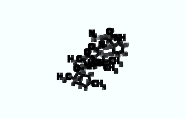 CC1CC2CC(C)CC(C(=O)N[C@@H](C)C(=O)N(C)[C@@H](CC(C)(C)C)C(=O)N3C[C@]4(C[C@H]3C#N)C(=O)Nc3ccccc34)(C1)C2